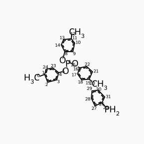 Cc1ccc(OP(Oc2ccc(C)cc2)Oc2ccc(C)cc2)cc1.Pc1ccccc1